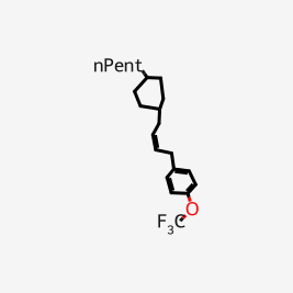 CCCCCC1CCC(C/C=C\Cc2ccc(OC(F)(F)F)cc2)CC1